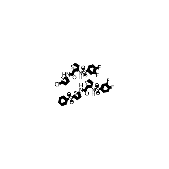 O=C(Nc1ccc(Cl)s1)c1sccc1NS(=O)(=O)c1ccc(F)c(F)c1.O=C(Nc1ccc(S(=O)(=O)c2ccccc2)s1)c1sccc1NS(=O)(=O)c1ccc(F)c(F)c1